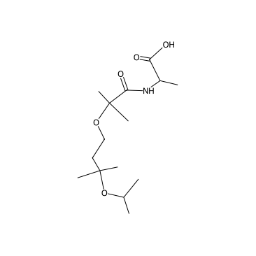 CC(C)OC(C)(C)CCOC(C)(C)C(=O)NC(C)C(=O)O